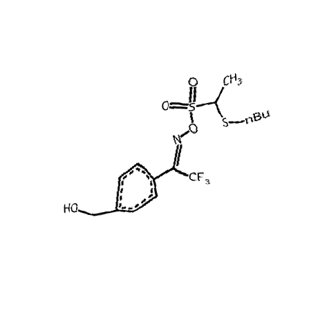 CCCCSC(C)S(=O)(=O)ON=C(c1ccc(CO)cc1)C(F)(F)F